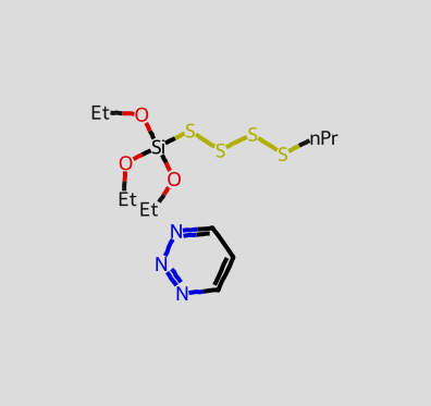 CCCSSSS[Si](OCC)(OCC)OCC.c1cnnnc1